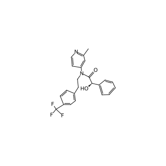 Cc1cc(N(CCc2ccc(C(F)(F)F)cc2)C(=O)[C@H](O)c2ccccc2)ccn1